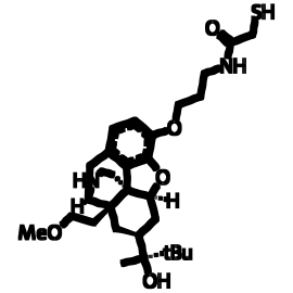 COCC[C@]12C[C@H]([C@](C)(O)C(C)(C)C)C[C@@H]3Oc4c(OCCCNC(=O)CS)ccc5c4[C@@]31CCN[C@@H]2C5